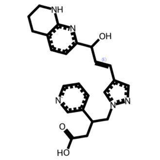 O=C(O)CC(Cn1cc(/C=C/C(O)c2ccc3c(n2)NCCC3)cn1)c1cccnc1